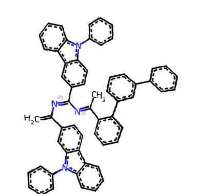 C=C(/N=C(\N=C(/C)c1ccccc1-c1cccc(-c2ccccc2)c1)c1ccc2c(c1)c1ccccc1n2-c1ccccc1)c1ccc2c3ccccc3n(-c3ccccc3)c2c1